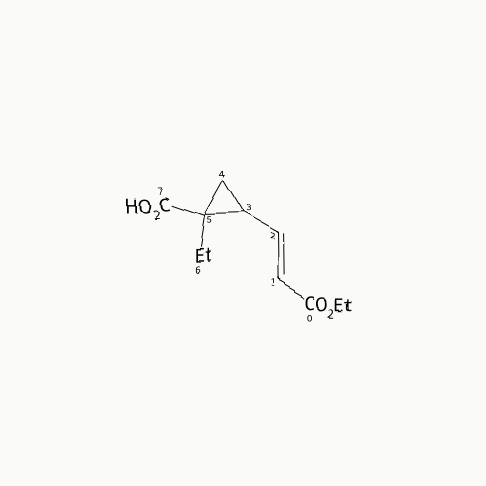 CCOC(=O)C=CC1CC1(CC)C(=O)O